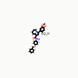 O=C(O)c1cc2c(cc1-c1cc(C(=O)Nc3ccc(OCc4ccccc4)cc3)c3n1CCCC3)OCO2